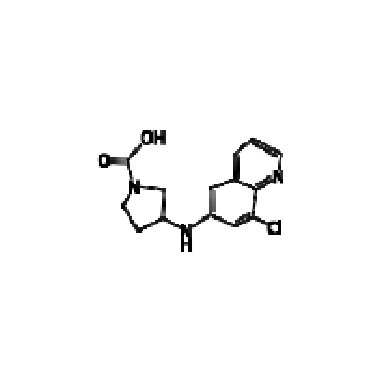 O=C(O)N1CCC(Nc2cc(Cl)c3ncccc3c2)C1